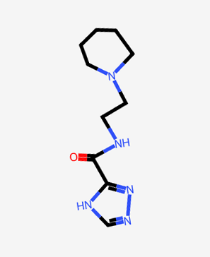 O=C(NCCN1CCCCC1)c1nnc[nH]1